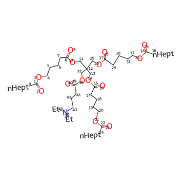 CCCCCCCC(=O)OCCCCC(=O)OCC(COC(=O)CCCCOC(=O)CCCCCCC)(COC(=O)CCCCOC(=O)CCCCCCC)COC(=O)CCCN(CC)CC